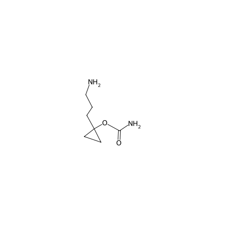 NCCCC1(OC(N)=O)CC1